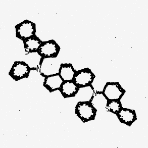 C1=Cc2c(sc3ccccc23)C(N(c2ccccc2)c2ccc3c4c5c(ccc24)C=CC(N(c2ccccc2)c2cccc4c2sc2ccccc24)C5C=C3)C1